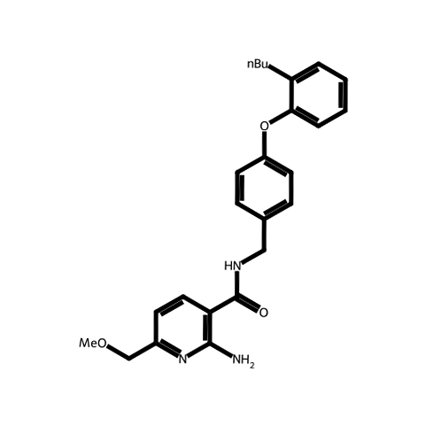 CCCCc1ccccc1Oc1ccc(CNC(=O)c2ccc(COC)nc2N)cc1